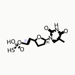 Cc1cn([C@H]2CCC(/C=C/OP(=O)(O)S)O2)c(=O)[nH]c1=O